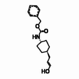 O=C(N[C@H]1CC[C@H](CC=CO)CC1)OCc1ccccc1